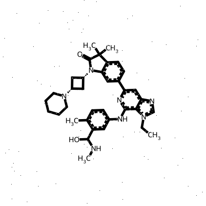 CCn1cnc2cc(-c3ccc4c(c3)N([C@H]3C[C@@H](N5CCCCC5)C3)C(=O)C4(C)C)nc(Nc3ccc(C)c(C(O)NC)c3)c21